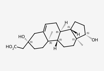 C[C@]12CC[C@H]3[C@@H](CC=C4C[C@](O)(CC(=O)O)CC[C@@]43C)[C@@H]1CC[C@@H]2O